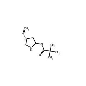 C=C[C@H]1CNC(OC(=O)C(C)(C)C)C1